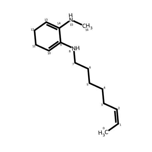 C/C=C\CCCCCNC1=CCCC=C1NC